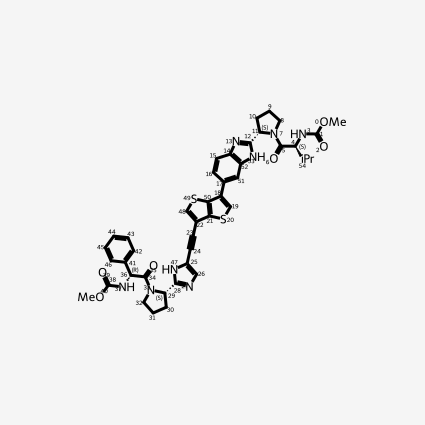 COC(=O)N[C@H](C(=O)N1CCC[C@H]1c1nc2ccc(-c3csc4c(C#Cc5cnc([C@@H]6CCCN6C(=O)[C@H](NC(=O)OC)c6ccccc6)[nH]5)csc34)cc2[nH]1)C(C)C